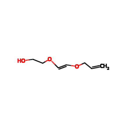 C=CCOC=COCCO